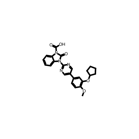 COc1ccc(-c2cnc(-n3c(=O)n(C(=O)O)c4ccccc43)nc2)cc1OC1CCCC1